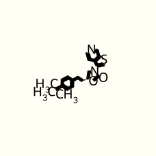 CC(C)(C)c1ccc(CC[C@@H]2CN(c3csc4cnccc34)C(=O)O2)cc1